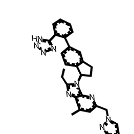 CCc1nc2c(C)cc(Cn3cccn3)nc2n1C1CCc2cc(-c3ccccc3-c3nnn[nH]3)ccc21